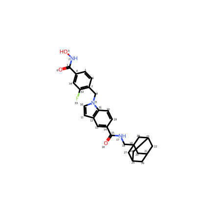 O=C(NO)c1ccc(Cn2ccc3cc(C(=O)NCC45CC6CC(CC(C6)C4)C5)ccc32)c(F)c1